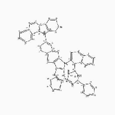 C1=CC2=CC=C(n3c4c(c5cc6ccc(-n7c8c(c9ccc%10ccccc%10c97)C=CCC8)cc6cc53)C=CCC4)C(C3NC(c4ccccc4)=NC(c4ccccc4)N3)C2C=C1